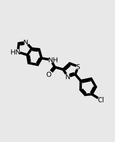 O=C(Nc1ccc2[nH]cnc2c1)c1csc(-c2ccc(Cl)cc2)n1